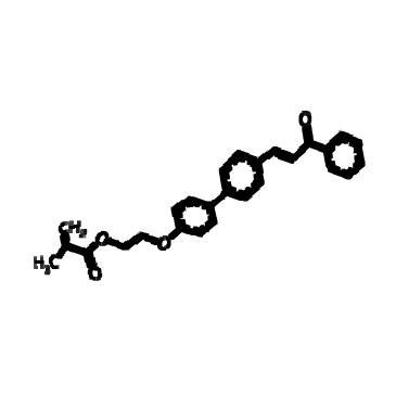 C=C(C)C(=O)OCCOc1ccc(-c2ccc(C=CC(=O)c3ccccc3)cc2)cc1